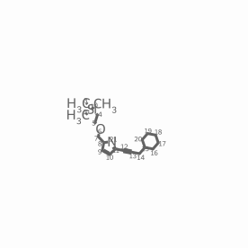 C[Si](C)(C)CCOCC1C=CC(C#CCC2CCCCC2)=N1